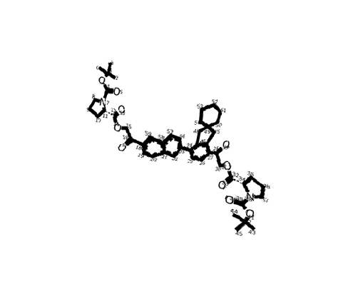 CC(C)(C)OC(=O)N1CCC[C@H]1C(=O)OCC(=O)c1ccc2cc(-c3ccc(C(=O)COC(=O)[C@@H]4CCCN4C(=O)OC(C)(C)C)c4c3CC3(CCCCC3)C4)ccc2c1